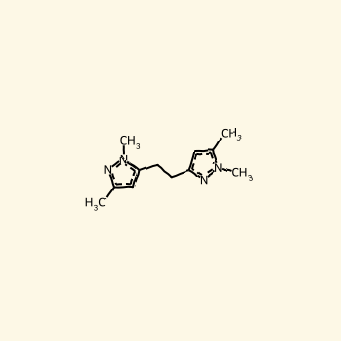 Cc1cc(CCc2cc(C)n(C)n2)n(C)n1